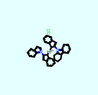 C1=C(n2ccc3ccccc32)[CH]([Hf+2][CH]2C(n3c4c(c5ccccc53)CCCC4)=Cc3ccccc32)c2ccccc21.[Cl-].[Cl-]